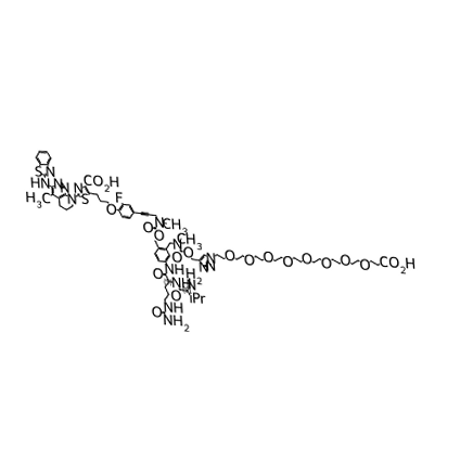 Cc1c(Nc2nc3ccccc3s2)nnc2c1CCCN2c1nc(C(=O)O)c(CCCOc2ccc(C#CCN(C)C(=O)OCc3ccc(NC(=O)[C@H](CCCNC(N)=O)NC(=O)[C@@H](N)C(C)C)cc3CN(C)C(=O)OCc3cn(CCOCCOCCOCCOCCOCCOCCOCCOCCC(=O)O)nn3)cc2F)s1